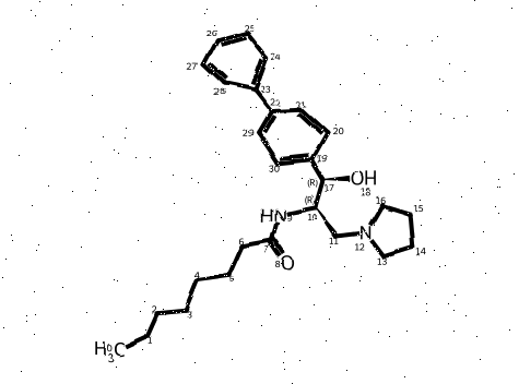 CCCCCCCC(=O)N[C@H](CN1CCCC1)[C@H](O)c1ccc(-c2ccccc2)cc1